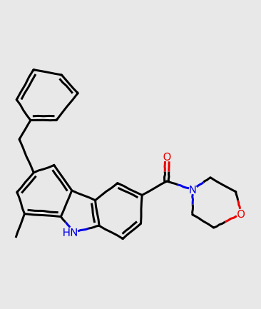 Cc1cc(Cc2ccccc2)cc2c1[nH]c1ccc(C(=O)N3CCOCC3)cc12